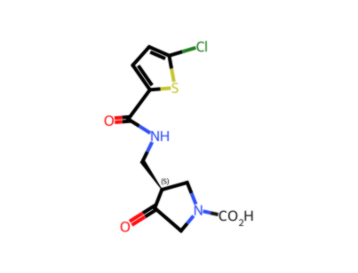 O=C(NC[C@H]1CN(C(=O)O)CC1=O)c1ccc(Cl)s1